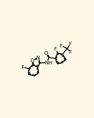 O=C(Nc1noc2c(F)cccc12)c1cccc(C(F)(F)F)c1F